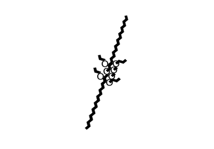 CCCCCCCCCCCCCCCC(OCCC)=C(OCCC)C(OC)OC(OC)C(OCCC)=C(CCCCCCCCCCCCCCC)OCCC